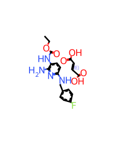 CCOC(=O)Nc1ccc(NCc2ccc(F)cc2)nc1N.O=C(O)/C=C/C(=O)O